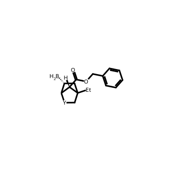 B[C@@H]1CC2(CC)[CH2][Y][CH]1[C@@H]2C(=O)OCc1ccccc1